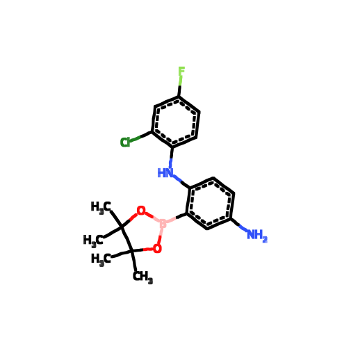 CC1(C)OB(c2cc(N)ccc2Nc2ccc(F)cc2Cl)OC1(C)C